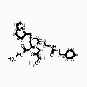 CCOC(=O)C[C@@H]1CN(Cc2cccc3ccnn23)C[C@@H](CCNC(=O)OCc2ccccc2)N1CC(=O)NC